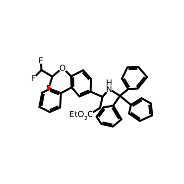 CCOC(=O)CC(NC(c1ccccc1)(c1ccccc1)c1ccccc1)c1ccc(OC(F)C(F)F)c(-c2ccccc2)c1